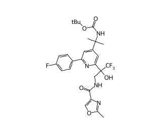 Cc1nc(C(=O)NCC(O)(c2cc(C(C)(C)NC(=O)OC(C)(C)C)cc(-c3ccc(F)cc3)n2)C(F)(F)F)co1